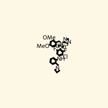 COc1ccc(CN(c2ncns2)S(=O)(=O)c2c(F)cc(Nc3ccccc3CN3CCC3)c(Cl)c2F)c(OC)c1